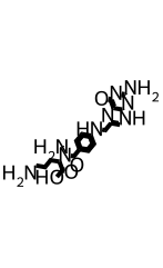 NCCCC(C(=O)O)N(N)C(=O)c1ccc(NCc2c[nH]c3nc(N)nc(=O)c-3n2)cc1